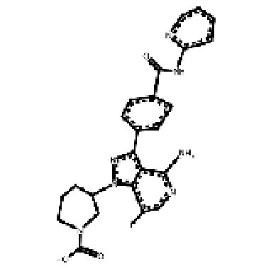 Nc1ncc(I)c2c1c(-c1ccc(C(=O)Nc3ccccn3)cc1)nn2C1CCCN(C(=O)O)C1